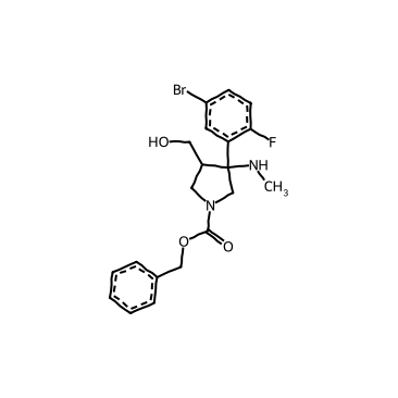 CNC1(c2cc(Br)ccc2F)CN(C(=O)OCc2ccccc2)CC1CO